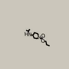 CCCOC(=O)N1CCC(NC(C)C)CC1